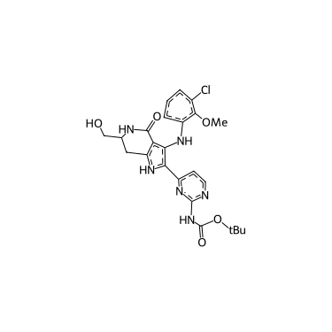 COc1c(Cl)cccc1Nc1c(-c2ccnc(NC(=O)OC(C)(C)C)n2)[nH]c2c1C(=O)NC(CO)C2